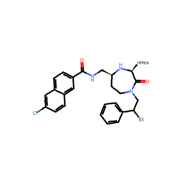 CCCCCC[C@@H]1N[C@H](CNC(=O)c2ccc3cc(Cl)ccc3c2)CCN(CC(CC)c2ccccc2)C1=O